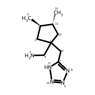 C[C@@H]1CC(CN)(Cc2nnn[nH]2)C[C@H]1C